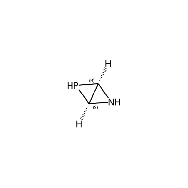 N1[C@@H]2P[C@H]12